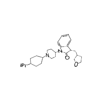 CC(C)C1CCC(N2CCC(N3C(=O)C(CC4CCOC4)c4ccccc43)CC2)CC1